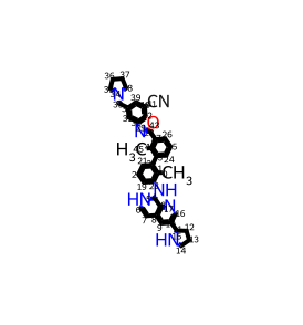 Cc1c(NC2NC=Cc3cc(C4CCCN4)cnc32)cccc1-c1cccc(-c2nc3cc(CN4CCCC4)cc(C#N)c3o2)c1C